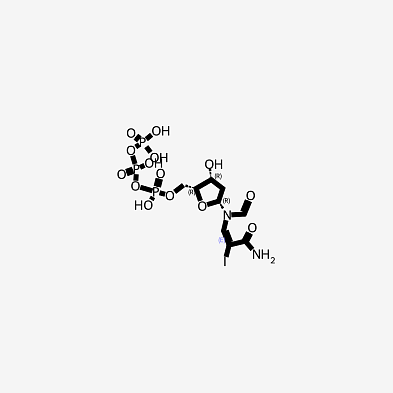 NC(=O)/C(I)=C\N(C=O)[C@H]1C[C@@H](O)[C@@H](COP(=O)(O)OP(=O)(O)OP(=O)(O)O)O1